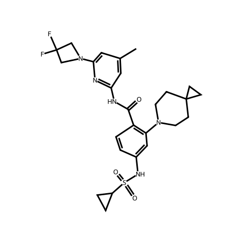 Cc1cc(NC(=O)c2ccc(NS(=O)(=O)C3CC3)cc2N2CCC3(CC2)CC3)nc(N2CC(F)(F)C2)c1